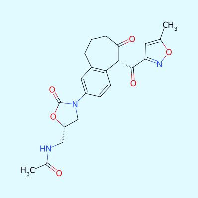 CC(=O)NC[C@H]1CN(c2ccc3c(c2)CCCC(=O)[C@@H]3C(=O)c2cc(C)on2)C(=O)O1